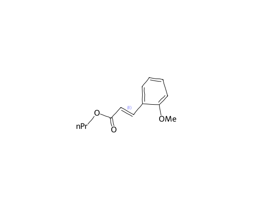 CCCOC(=O)/C=C/c1ccccc1OC